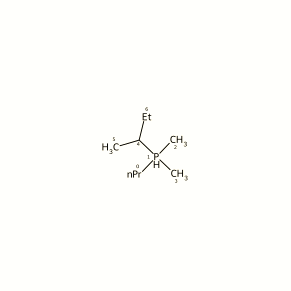 CCC[PH](C)(C)C(C)CC